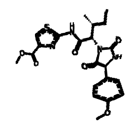 CC[C@@H](C)[C@@H](C(=O)Nc1nc(C(=O)OC)cs1)N1C(=O)NC(c2ccc(OC)cc2)C1=O